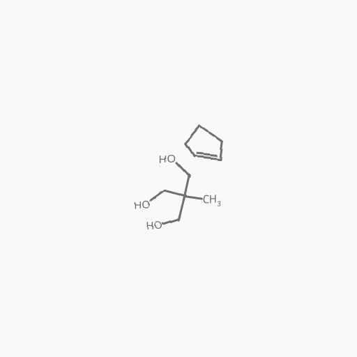 C1=CCCC1.CC(CO)(CO)CO